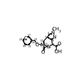 Cn1cc2c(n1)C(C(=O)O)N1CC2N(OCc2ccccc2)C1=O